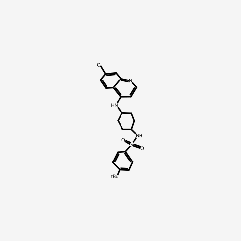 CC(C)(C)c1ccc(S(=O)(=O)NC2CCC(Nc3ccnc4cc(Cl)ccc34)CC2)cc1